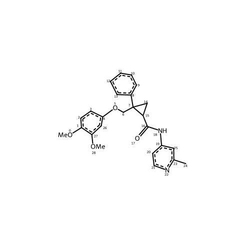 COc1ccc(OCC2(c3ccccc3)CC2C(=O)Nc2ccnc(C)c2)cc1OC